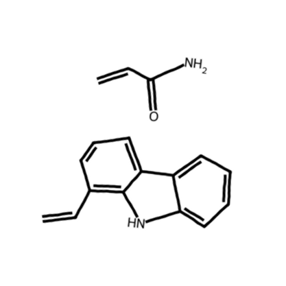 C=CC(N)=O.C=Cc1cccc2c1[nH]c1ccccc12